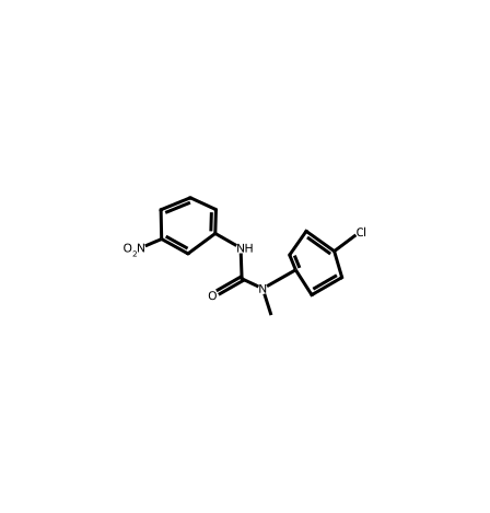 CN(C(=O)Nc1cccc([N+](=O)[O-])c1)c1ccc(Cl)cc1